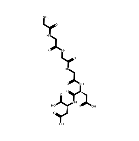 NCC(=O)NCC(=O)NCC(=O)NCC(=O)N[C@@H](CC(=O)O)C(=O)N[C@@H](CC(=O)O)C(=O)O